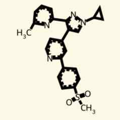 Cc1cccc(-c2nn(C3CC3)cc2-c2ccnc(-c3ccc(S(C)(=O)=O)cc3)c2)n1